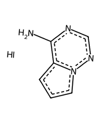 I.Nc1ncnn2cccc12